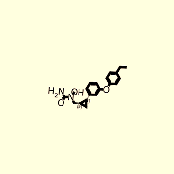 CCc1ccc(Oc2cccc([C@@H]3C[C@H]3CN(O)C(N)=O)c2)cc1